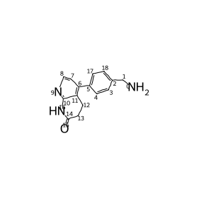 NCc1ccc(-c2ccnc3c2CCC(=O)N3)cc1